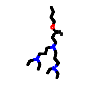 CCCCO[SiH2]CCN(CCCN(CC)CC)CCCN(CC)CC